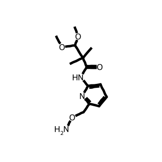 COC(OC)C(C)(C)C(=O)Nc1cccc(CON)n1